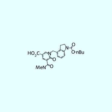 CCCCOC(=O)N1CCc2c(Cn3cc(C(=O)O)cc(C(=O)NC)c3=O)cccc21